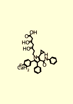 O=C(O)C[C@H](O)C[C@H](O)CCn1c(-c2ccc(F)cc2)c(-c2ccccc2)c(C(=O)Nc2ccccc2)c1C1CC1.[CaH2]